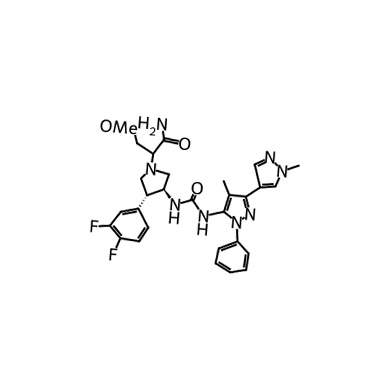 COCC(C(N)=O)N1C[C@@H](NC(=O)Nc2c(C)c(-c3cnn(C)c3)nn2-c2ccccc2)[C@H](c2ccc(F)c(F)c2)C1